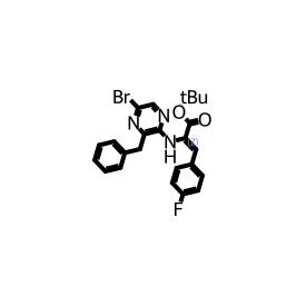 CC(C)(C)OC(=O)/C(=C/c1ccc(F)cc1)Nc1ncc(Br)nc1Cc1ccccc1